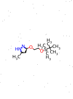 Cc1cc(OCCO[Si](C)(C)C(C)(C)C)n[nH]1